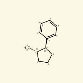 C[C@H]1CCC[C@@H]1c1ccccc1